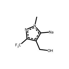 Cn1nc(C(F)(F)F)c(CO)[c]1[Na]